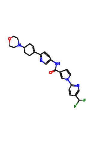 O=C(Nc1ccc(C2=CCC(N3CCOCC3)CC2)nc1)c1ccn(-c2ccc(C(F)F)cn2)c1